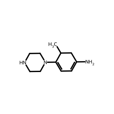 CC1CC(N)=CC=C1N1CCNCC1